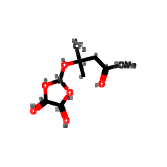 COC(=O)CC(C)(OB1OC(=O)C(=O)O1)C(F)(F)F